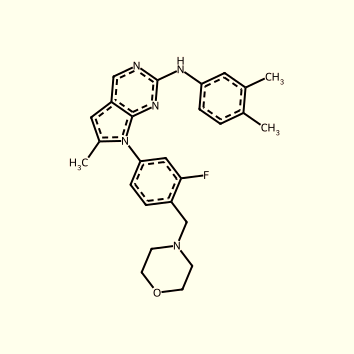 Cc1ccc(Nc2ncc3cc(C)n(-c4ccc(CN5CCOCC5)c(F)c4)c3n2)cc1C